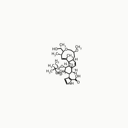 CO[C@@H]1CO[C@H]([C@@H](C)O)[C@H](C)/C=C(\C)[C@]23O[C@@H]4[C@H](C=C[C@@H]2C1)[C@H]3[C@H](O[Si](C)(C)C(C)(C)C)[C@@H](C)[C@@H]4c1cc[nH]c1C(=O)O